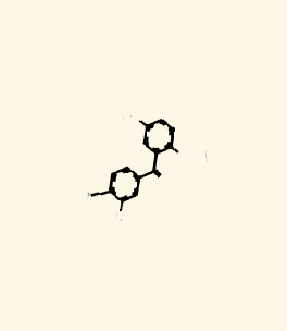 Cc1ccc(C(=O)O)c(C(=O)c2ccc(Cl)c([N+](=O)[O-])c2)c1